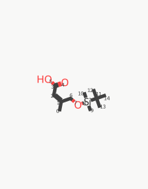 C/C(=C/C(=O)O)CO[Si](C)(C)C(C)(C)C